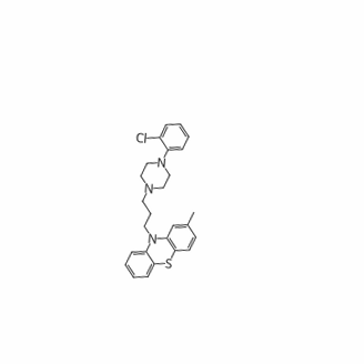 Cc1ccc2c(c1)N(CCCN1CCN(c3ccccc3Cl)CC1)c1ccccc1S2